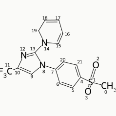 CS(=O)(=O)c1ccc(-n2cc(C(F)(F)F)nc2N2C=CC=CC2)cc1